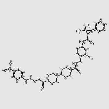 CC1(C)C(C(=O)Nc2ccc(CNC(=O)N3CCC(N4CCN(C(=O)CCSSc5ccc([N+](=O)[O-])cn5)CC4)CC3)c(F)c2)C1c1cccnc1